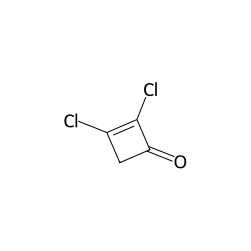 O=C1CC(Cl)=C1Cl